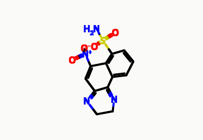 NS(=O)(=O)c1cccc2c3c(cc([N+](=O)[O-])c12)=NCCN=3